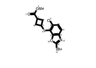 COC(=O)C1CC(Sc2c(Cl)ccc3nc(C(C)(C)C)oc23)C1